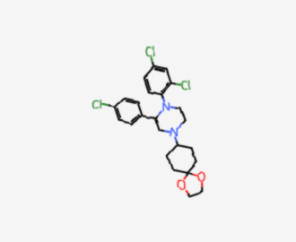 Clc1ccc(C2CN(C3CCC4(CC3)OCCO4)CCN2c2ccc(Cl)cc2Cl)cc1